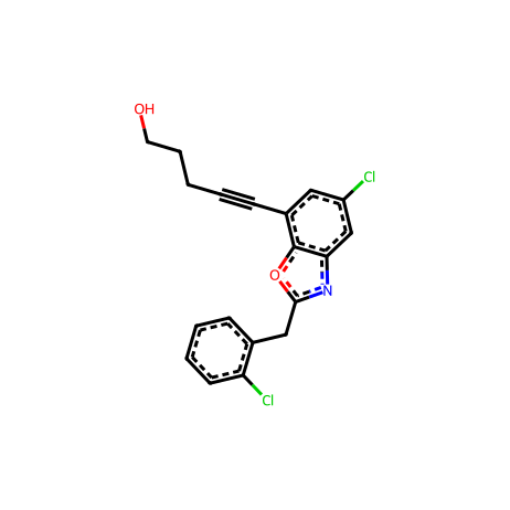 OCCCC#Cc1cc(Cl)cc2nc(Cc3ccccc3Cl)oc12